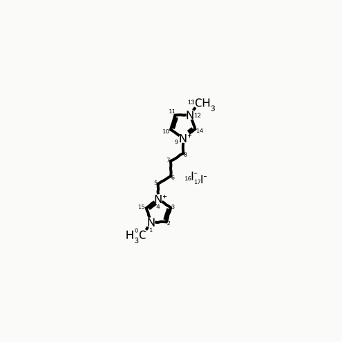 Cn1cc[n+](CCCC[n+]2ccn(C)c2)c1.[I-].[I-]